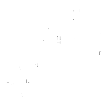 CNC[C@@H](NC(=O)N1CCc2cnc(NC(C)C)nc2C1)c1ccc(F)c(Cl)c1